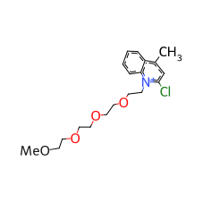 COCCOCCOCCOCC[n+]1c(Cl)cc(C)c2ccccc21